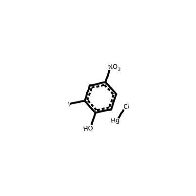 O=[N+]([O-])c1ccc(O)c(I)c1.[Cl][Hg]